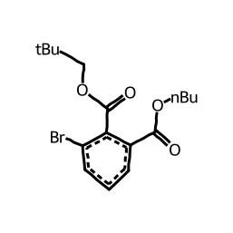 CCCCOC(=O)c1cccc(Br)c1C(=O)OCC(C)(C)C